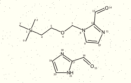 C[Si](C)(C)CCOCn1ccnc1C=O.O=Cc1ncc[nH]1